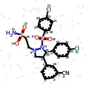 N#Cc1cccc(C2CN(CCS(N)(=O)=O)N(S(=O)(=O)c3ccc(Cl)cc3)[C@H]2c2ccc(Cl)cc2)c1